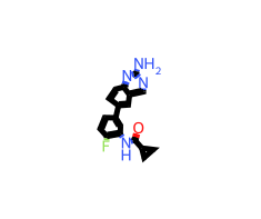 Nc1ncc2cc(-c3ccc(F)c(NC(=O)C4CC4)c3)ccc2n1